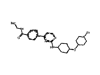 CCN1CCC(OC2CCC(Nc3nccc(-c4ccc(C(=O)NCC#N)cc4)n3)CC2)CC1